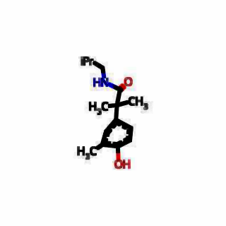 Cc1cc(C(C)(C)C(=O)NCC(C)C)ccc1O